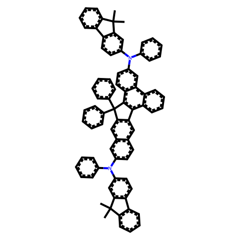 CC1(C)c2ccccc2-c2ccc(N(c3ccccc3)c3ccc4cc5c(cc4c3)C(c3ccccc3)(c3ccccc3)c3c-5c4ccccc4c4cc(N(c5ccccc5)c5ccc6c(c5)C(C)(C)c5ccccc5-6)ccc34)cc21